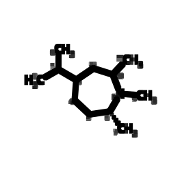 CC(C)C1CC[C@@H](C)N(C)C(C)C1